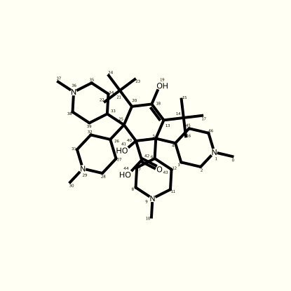 CN1CCC(C2(C3CCN(C)CC3)C(C(C)(C)C)=C(O)C(C(C)(C)C)C(C3CCN(C)CC3)(C3CCN(C)CC3)C2(O)C(=O)O)CC1